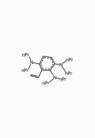 C=Cc1c(N(CCC)CCC)c[c]c(N(CCC)CCC)c1N(CCC)CCC